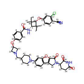 CC1(C)[C@H](NC(=O)c2ccc(OC3CN(CC4CCN(c5ccc6c7c(oc6c5)C(=O)N(C5CCC(=O)NC5=O)C7)CC4)C3)cc2)C(C)(C)[C@H]1Oc1ccc(C#N)c(Cl)c1